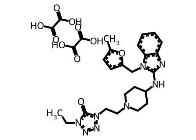 CCn1nnn(CCN2CCC(Nc3nc4ccccc4n3Cc3ccc(C)o3)CC2)c1=O.O=C(O)C(=O)O.O=C(O)C(=O)O